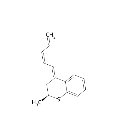 C=C/C=C\C=C1/C[C@H](C)Sc2ccccc21